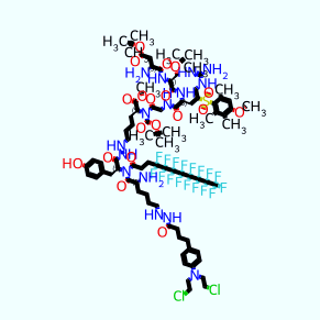 COC(=O)[C@H](CCCCNNC(=O)[C@H](Cc1ccc(O)cc1)N(C(=O)CCC(F)(F)C(F)(F)C(F)(F)C(F)(F)C(F)(F)C(F)(F)C(F)(F)C(F)(F)F)C(=O)[C@@H](N)CCCCNNC(=O)CCCc1ccc(N(CCCl)CCCl)cc1)N(C(=O)CNC(=O)[C@H](CC(CNC(=N)N)S(=O)(=O)c1c(C)cc(OC)c(C)c1C)NC(=O)[C@H](COC(C)(C)C)NC(=O)[C@@H](N)CC(=O)OC(C)(C)C)C(=O)OC(C)(C)C